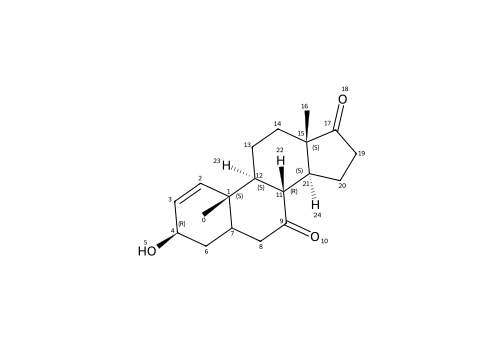 C[C@]12C=C[C@H](O)CC1CC(=O)[C@@H]1[C@@H]2CC[C@]2(C)C(=O)CC[C@@H]12